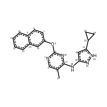 Cc1cnc(Oc2ccc3ccccc3c2)nc1Nc1cc(C2CC2)[nH]n1